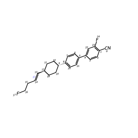 N#Cc1ccc(-c2ccc([C@H]3CC[C@H](/C=C/CCF)CC3)cc2)cc1F